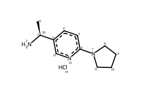 C[C@H](N)c1ccc(N2CCCC2)nc1.Cl